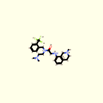 CN(C)CCN(Cc1ccccc1C(F)(F)F)C(=O)CNc1cccc2c1CN(C)CC2